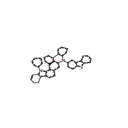 C1=Cc2c(c3ccc4cc(N(c5ccc6sc7ccccc7c6c5)c5ccccc5-c5ccccc5)ccc4c3n2-c2ccccc2)CC1